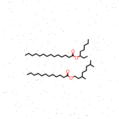 CCCCCCCCCCCC(=O)OCCC(C)CCCC(C)C.CCCCCCCCCCCCCC(=O)OC(CC)CCCCC